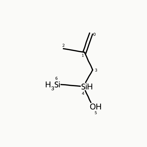 C=C(C)C[SiH](O)[SiH3]